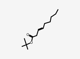 CCCCCC=CCC(=O)OC(C)(C)C